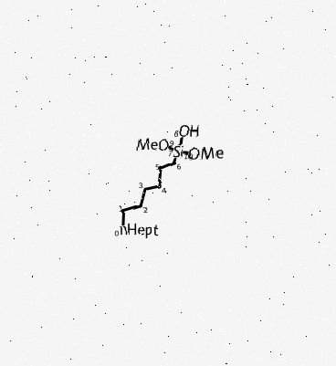 CCCCCCCCCCCCC[Si](O)(OC)OC